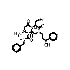 CC(C)C[C@H]1C(=O)N(CC[C@@H](C)c2ccccc2)C[C@H]2N1C(=O)CN(C)N2C(=O)NCc1ccccc1